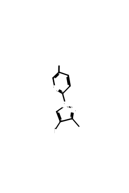 Cc1nn(-c2ccc(F)cn2)cc1Cl